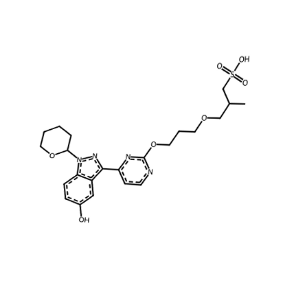 CC(COCCCOc1nccc(-c2nn(C3CCCCO3)c3ccc(O)cc23)n1)CS(=O)(=O)O